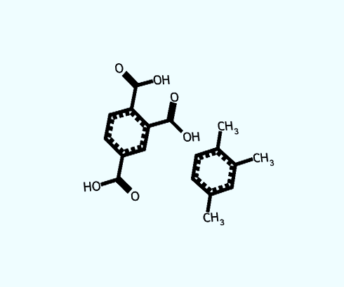 Cc1ccc(C)c(C)c1.O=C(O)c1ccc(C(=O)O)c(C(=O)O)c1